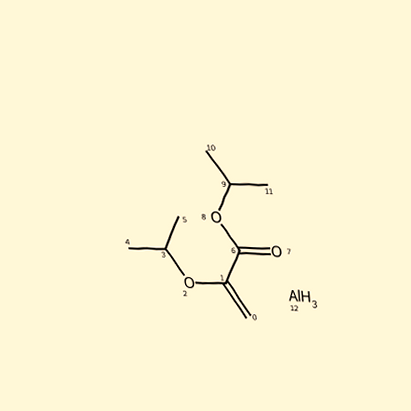 C=C(OC(C)C)C(=O)OC(C)C.[AlH3]